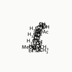 CC[C@@H](C(=O)C(C)C(=O)[C@H](C)[C@@H]1O[C@@H]([C@@H](CC)C(=O)OC)CC[C@@H]1C)[C@H]1O[C@]2(C=C[C@@H](OC(C)=O)[C@]3(CC[C@@](C)([C@H]4CC[C@](O)(CC)[C@H](C)O4)O3)O2)[C@H](C)C[C@@H]1C